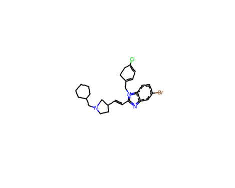 ClC1=CC=C(Cn2c(/C=C/C3CCN(CC4CCCCC4)C3)nc3cc(Br)ccc32)CC1